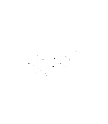 OCC1O[C@@H](O[C@]2(CCl)O[C@H](CCl)[C@H](O)C2O)[C@@H](O)C(O)[C@H]1Cl